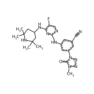 Cn1nnn(-c2cc(C#N)cc(Nc3ncc(F)c(NC4CC(C)(C)NC(C)(C)C4)n3)c2)c1=O